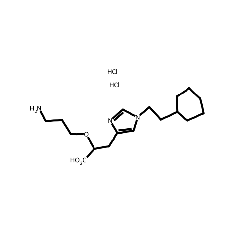 Cl.Cl.NCCCOC(Cc1cn(CCC2CCCCC2)cn1)C(=O)O